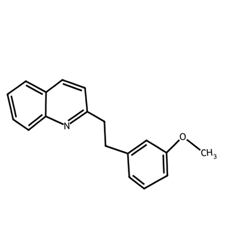 COc1cccc(CCc2ccc3ccccc3n2)c1